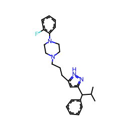 CC(C)C(c1ccccc1)c1cc(CCCN2CCN(c3ccccc3F)CC2)[nH]n1